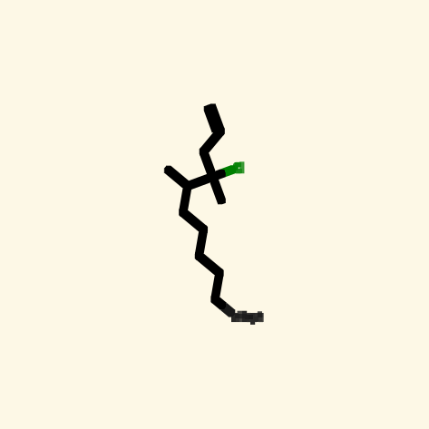 C=CCC(C)(Cl)C(C)CCCCCCCCCCCC